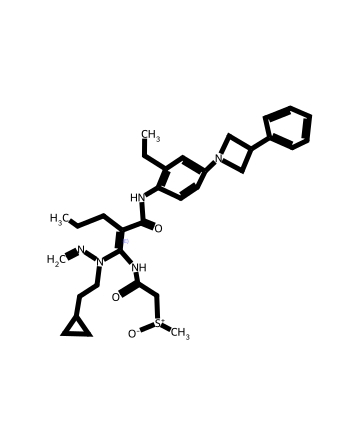 C=NN(CCC1CC1)/C(NC(=O)C[S+](C)[O-])=C(\CCC)C(=O)Nc1ccc(N2CC(c3ccccc3)C2)cc1CC